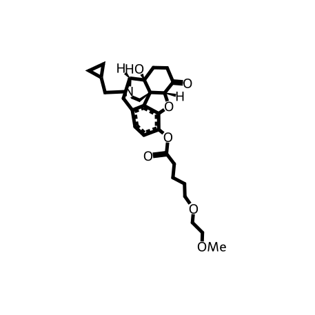 COCCOCCCCC(=O)Oc1ccc2c3c1O[C@H]1C(=O)CC[C@@]4(O)[C@@H](C2)N(CC2CC2)CC[C@]314